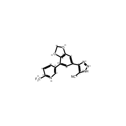 N#Cc1[nH]nnc1-c1cc2c(c(-c3ccc(C(F)(F)F)nc3)c1)OCO2